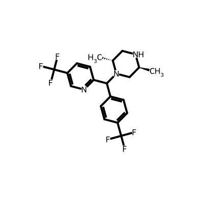 C[C@@H]1CN[C@@H](C)CN1C(c1ccc(C(F)(F)F)cc1)c1ccc(C(F)(F)F)cn1